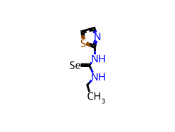 CCNC(=[Se])Nc1nccs1